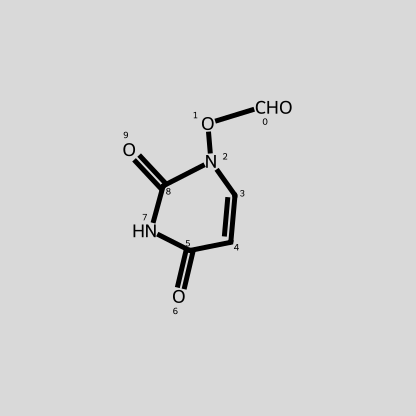 O=COn1ccc(=O)[nH]c1=O